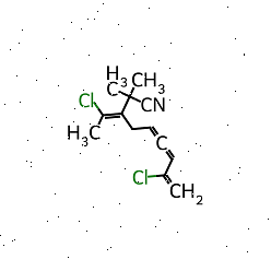 C=C(Cl)C=C=CC/C(=C(\C)Cl)C(C)(C)C#N